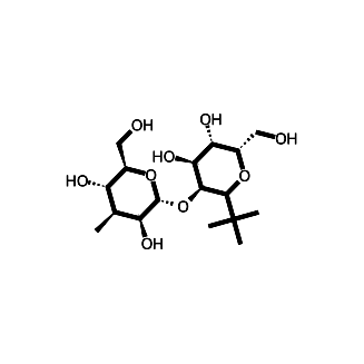 C[C@@H]1[C@H](O)[C@@H](O[C@@H]2C(C(C)(C)C)O[C@@H](CO)[C@@H](O)[C@@H]2O)O[C@H](CO)[C@H]1O